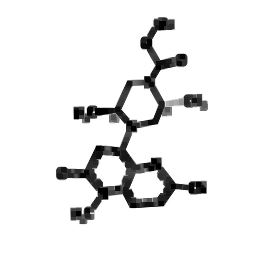 C[C@@H]1CN(c2cc(=O)n(C)c3ccc(C#N)nc23)[C@@H](C)CN1C(=O)OC(C)(C)C